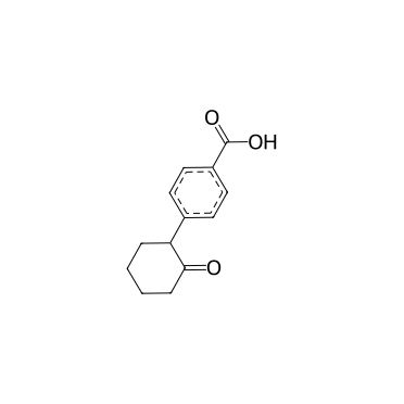 O=C(O)c1ccc(C2CCCCC2=O)cc1